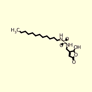 CCCCCCCCCCCCNS(=O)(=O)NCC1=CC(=O)OC1O